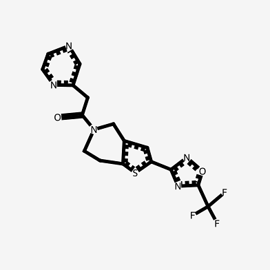 O=C(Cc1cnccn1)N1CCc2sc(-c3noc(C(F)(F)F)n3)cc2C1